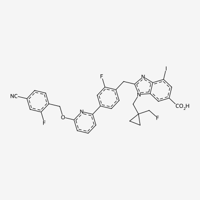 N#Cc1ccc(COc2cccc(-c3ccc(Cc4nc5c(I)cc(C(=O)O)cc5n4CC4(CF)CC4)c(F)c3)n2)c(F)c1